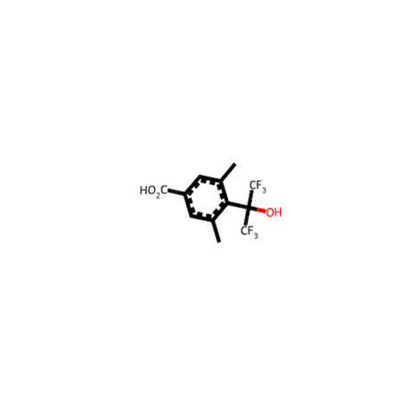 Cc1cc(C(=O)O)cc(C)c1C(O)(C(F)(F)F)C(F)(F)F